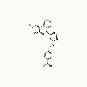 COC=C(C(=O)O)c1ccccc1Oc1cc(OCc2ccc([N+](=O)[O-])cc2)ncn1